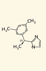 Cc1cc(C)cc([C@H](C)C2=NC=C[N]2)c1